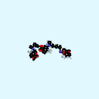 CC1(C)c2ccccc2C2(c3ccccc3-c3ccccc32)c2cc(-c3nnc(-c4cccc(-c5ccc(-c6ccc(-c7nc(-c8ccc9c(c8)C(C)(C)c8ccccc8C98c9ccccc9-c9c(-c%10ccc%11c(-c%12nc(-c%13cccc%14c%13C(C)(C)c%13ccccc%13C%14%13c%14ccccc%14-c%14ccccc%14%13)nc%13ccccc%12%13)cccc%11c%10)cccc98)nc8ccccc78)cc6)cc5)c4)o3)ccc21